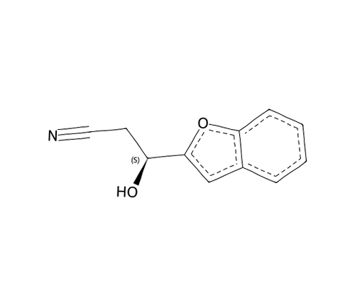 N#CC[C@H](O)c1cc2ccccc2o1